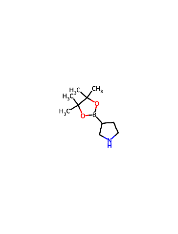 CC1(C)OB(C2CCNC2)OC1(C)C